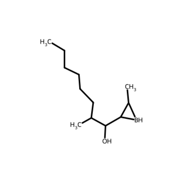 CCCCCCC(C)C(O)C1BC1C